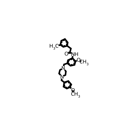 COc1ccc(CN2CCN(Cc3ccc(OC)c(NC(=O)Cc4cccc(C)c4)c3)CC2)cc1